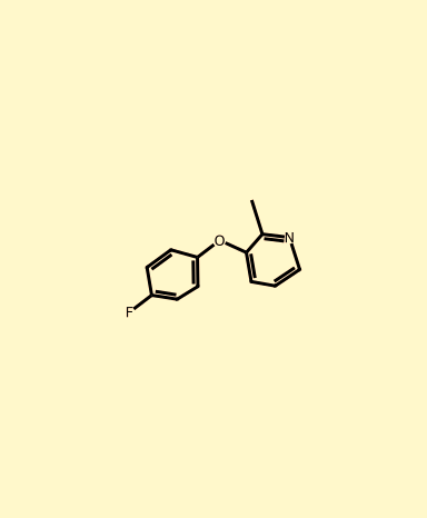 Cc1ncccc1Oc1ccc(F)cc1